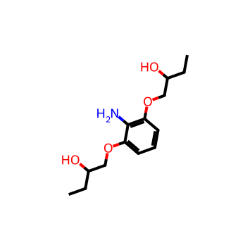 CCC(O)COc1cccc(OCC(O)CC)c1N